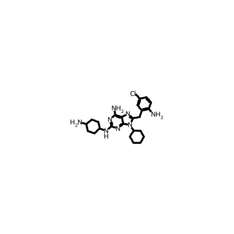 Nc1ccc(Cl)cc1Cc1nc2c(N)nc(NC3CCC(N)CC3)nc2n1C1CCCCC1